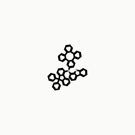 c1ccc(C2(c3ccccc3)c3ccccc3-c3c(N(c4ccc5c(c4)-c4ccccc4-c4ccccc4-c4ccccc4-5)c4cccc5c4sc4ccccc45)cccc32)cc1